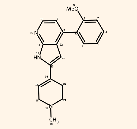 COc1ccccc1-c1ccnc2[nH]c(C3=CCN(C)CC3)cc12